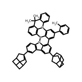 Cc1ccccc1-c1cc2c3c(c1)N1c4ccccc4C(C)(C)c4cccc(c41)B3n1c3ccc(C45CC6CC7CC(C4)C76C5)cc3c3cc(C45CC6CC7CC6(C4)C7C5)cc-2c31